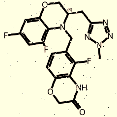 Cn1nnc(C[C@@H]2COc3cc(F)cc(F)c3N2Cc2ccc3c(c2F)NC(=O)CO3)n1